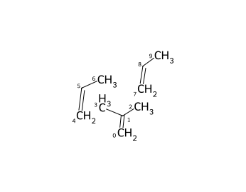 C=C(C)C.C=CC.C=CC